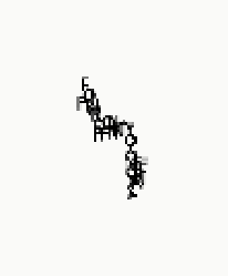 Fc1ccc(N2CCN(Cc3ccn4c(CC5CC5c5ccc(C6CCN(c7ccn8c(CC9CC9)nnc8c7C(F)(F)F)CC6)cc5)nnc4c3C(F)(F)F)CC2)c(F)c1